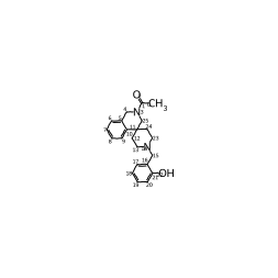 CC(=O)N1Cc2ccccc2C2(CCN(Cc3ccccc3O)CC2)C1